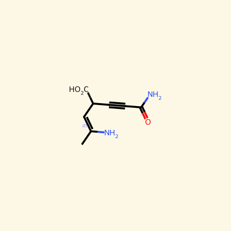 C/C(N)=C/C(C#CC(N)=O)C(=O)O